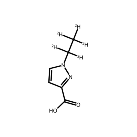 [2H]C([2H])([2H])C([2H])([2H])n1ccc(C(=O)O)n1